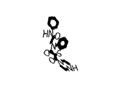 O=C(CN1C(=O)C(C(=O)N2CCNCC2)Sc2ccccc21)NC1CCCCC1